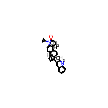 C[C@]12CCC(=O)N(C3CC3)C1=CC[C@@H]1[C@@H]2CC[C@]2(C)C(c3cnc4ccccc4c3)=CC[C@@H]12